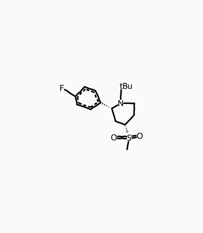 CC(C)(C)N1CC[C@H](S(C)(=O)=O)C[C@@H]1c1ccc(F)cc1